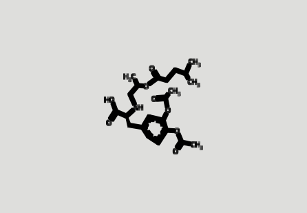 CC(=O)Oc1ccc(C[C@H](NCC(C)OC(=O)CCC(C)C)C(=O)O)cc1OC(C)=O